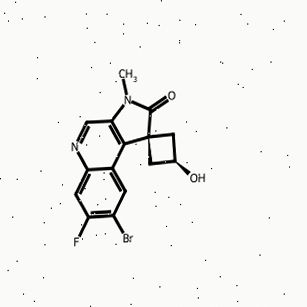 CN1c2cnc3cc(F)c(Br)cc3c2[C@]2(C[C@H](O)C2)C1=O